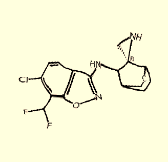 FC(F)c1c(Cl)ccc2c(NC3C4CCC(CC4)[C@@]34CN4)noc12